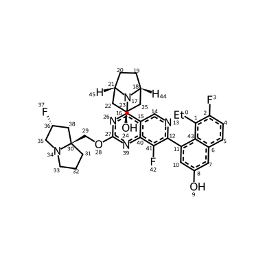 CCc1c(F)ccc2cc(O)cc(-c3ncc4c(N5[C@@H]6CC[C@H]5C[C@H](O)C6)nc(OC[C@@]56CCCN5C[C@H](F)C6)nc4c3F)c12